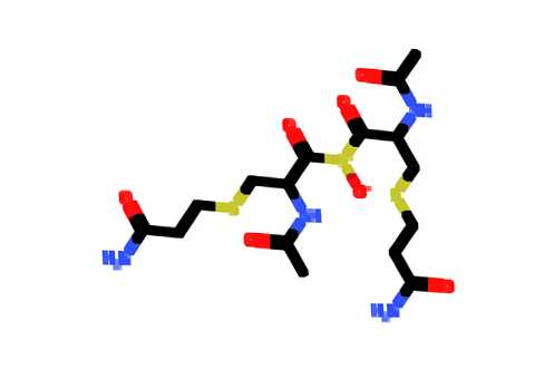 CC(=O)NC(CSCCC(N)=O)C(=O)[S+]([O-])C(=O)C(CSCCC(N)=O)NC(C)=O